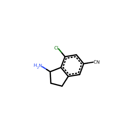 N#Cc1cc(Cl)c2c(c1)CCC2N